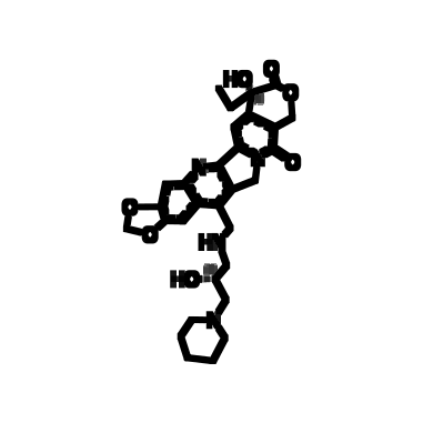 CC[C@@]1(O)C(=O)OCc2c1cc1n(c2=O)Cc2c-1nc1cc3c(cc1c2CNC[C@@H](O)CN1CCCCC1)OCO3